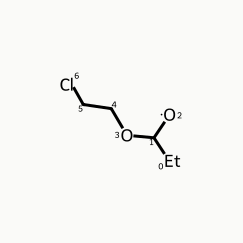 CCC([O])OCCCl